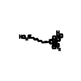 Cn1c(=O)n(C2CCC(=O)NC2=O)c2ccc(C#CCCCCCCCC(=O)O)cc21